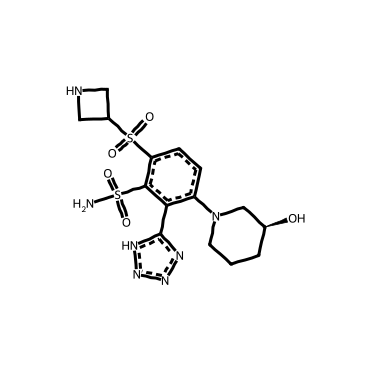 NS(=O)(=O)c1c(S(=O)(=O)C2CNC2)ccc(N2CCC[C@H](O)C2)c1-c1nnn[nH]1